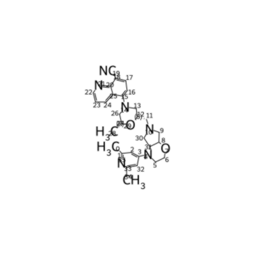 Cc1cc(N2CCOC3CN(C[C@H]4CN(c5ccc(C#N)c6ncccc56)C[C@@H](C)O4)CC32)cc(C)n1